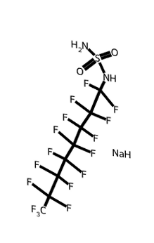 NS(=O)(=O)NC(F)(F)C(F)(F)C(F)(F)C(F)(F)C(F)(F)C(F)(F)C(F)(F)C(F)(F)F.[NaH]